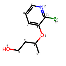 CC(CCO)Oc1cccnc1Br